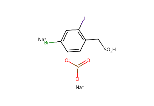 O=S(=O)(O)Cc1ccc(Br)cc1I.O=S([O-])[O-].[Na+].[Na+]